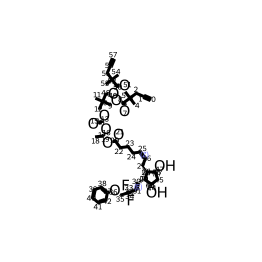 C#CCC(C)(C)C(=O)OCC(C)(COC(=O)OC(C)OC(=O)CCC/C=C\C[C@@H]1[C@@H](/C=C/C(F)(F)COc2ccccc2)[C@H](O)C[C@@H]1O)COC(=O)C(C)(C)CC#C